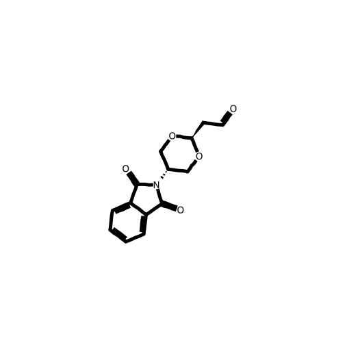 O=CC[C@H]1OC[C@H](N2C(=O)c3ccccc3C2=O)CO1